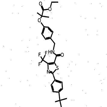 CCOC(=O)C(C)(C)Oc1ccc(CNC(=O)c2sc(-c3ccc(C(C)(C)C)cc3)nc2C(F)(F)F)cc1